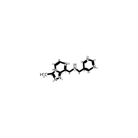 Cc1nnc2c(CNCc3cncnc3)nccn12